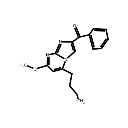 CCCCc1cc(OC)nc2nc(C(=O)c3ccccc3)cn12